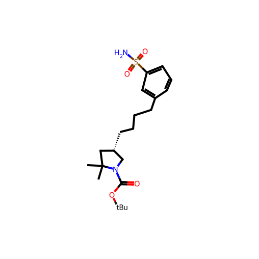 CC(C)(C)OC(=O)N1C[C@@H](CCCCc2cccc(S(N)(=O)=O)c2)CC1(C)C